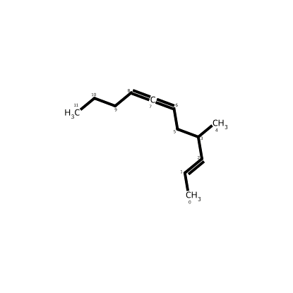 CC=CC(C)CC=C=CCCC